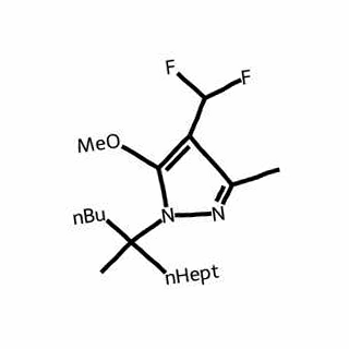 CCCCCCCC(C)(CCCC)n1nc(C)c(C(F)F)c1OC